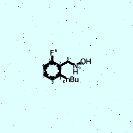 CCCCc1cccc(F)c1CNO